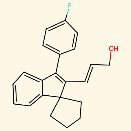 OC/C=C/C1=C(c2ccc(F)cc2)c2ccccc2C12CCCC2